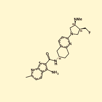 CN[C@@H]1CN(c2ccc3c(n2)CC[C@H](NC(=O)c2sc4nc(C)ccc4c2N)C3)C[C@@H]1CF